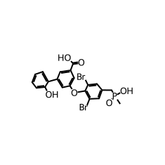 CP(=O)(O)Cc1cc(Br)c(Oc2cc(C(=O)O)cc(-c3ccccc3O)c2)c(Br)c1